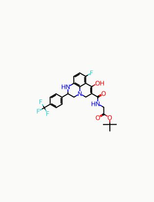 CC(C)(C)OC(=O)CNC(=O)C1=C(O)c2c(F)ccc3c2N(C1)CC(c1ccc(C(F)(F)F)cc1)N3